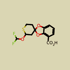 O=C(O)c1cccc2c1OC1(CCSC(OC(F)F)C1)O2